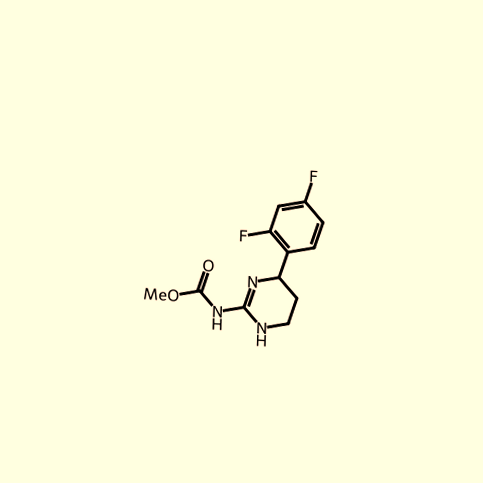 COC(=O)NC1=NC(c2ccc(F)cc2F)CCN1